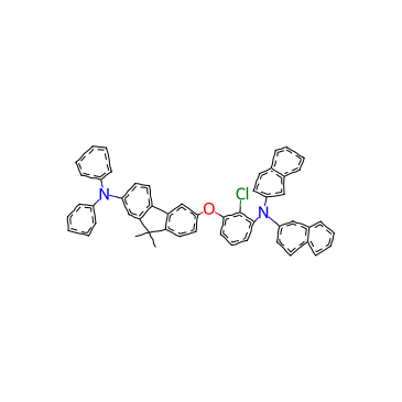 CC1(C)c2ccc(Oc3cccc(N(c4ccc5ccccc5c4)c4ccc5ccccc5c4)c3Cl)cc2-c2ccc(N(c3ccccc3)c3ccccc3)cc21